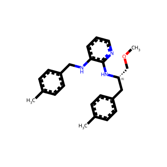 COC[C@H](Cc1ccc(C)cc1)Nc1ncccc1NCc1ccc(C)cc1